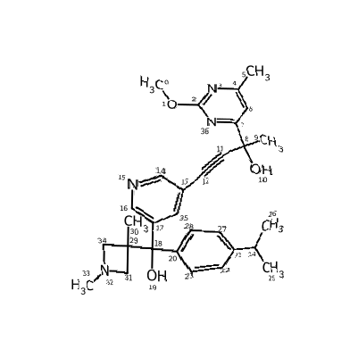 COc1nc(C)cc(C(C)(O)C#Cc2cncc(C(O)(c3ccc(C(C)C)cc3)C3(C)CN(C)C3)c2)n1